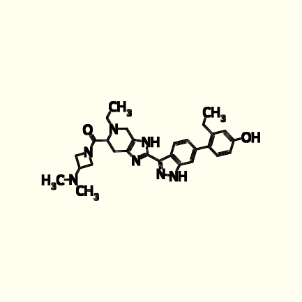 CCc1cc(O)ccc1-c1ccc2c(-c3nc4c([nH]3)CN(CC)C(C(=O)N3CC(N(C)C)C3)C4)n[nH]c2c1